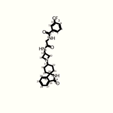 O=C(CNC(=O)c1cccc(C(F)(F)F)c1)NC1CN(C2CCC3(CC2)NC(=O)c2ccccc23)C1